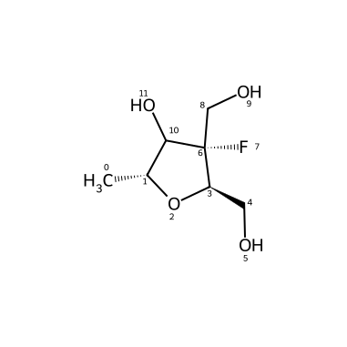 C[C@H]1O[C@H](CO)[C@](F)(CO)C1O